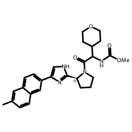 COC(=O)NC(C(=O)N1CCC[C@H]1c1nc(-c2ccc3cc(C)ccc3c2)c[nH]1)C1CCOCC1